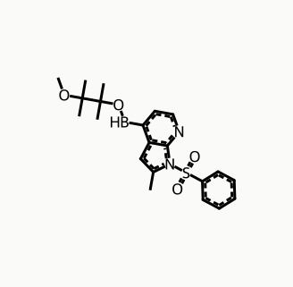 COC(C)(C)C(C)(C)OBc1ccnc2c1cc(C)n2S(=O)(=O)c1ccccc1